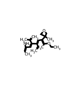 C=CC(=C\C(=C(/C)OCC)C1(C)COC1)/C(=C/C(N)=C\C)C(=C)C